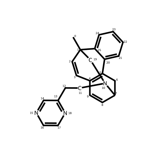 CC12C=CC3=C(CC(C=C3)N(CCc3cnccn3)C1)c1ccccc12